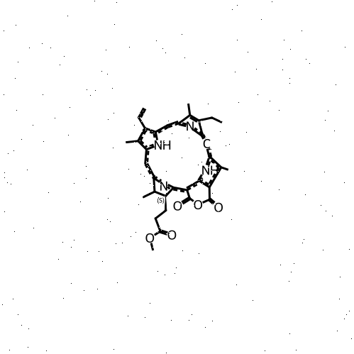 C=Cc1c(C)c2cc3nc(c4c5[nH]c(cc6nc(cc1[nH]2)C(C)=C6CC)c(C)c5C(=O)OC4=O)[C@@H](CCC(=O)OC)C3C